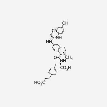 CN1CCc2cc(NC(=NC#N)Nc3ccc(O)cc3)ccc2C1C(=O)NC(Cc1ccc(CCC(=O)O)cc1)C(=O)O